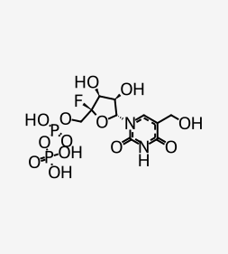 O=c1[nH]c(=O)n([C@@H]2O[C@](F)(COP(=O)(O)OP(=O)(O)O)[C@@H](O)[C@H]2O)cc1CO